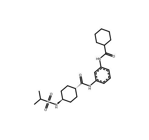 CC(C)S(=O)(=O)N[C@H]1CC[C@H](C(=O)Nc2cccc(NC(=O)C3CCCCC3)c2)CC1